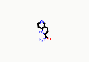 NC(=O)C1=CCc2cnccc2N1